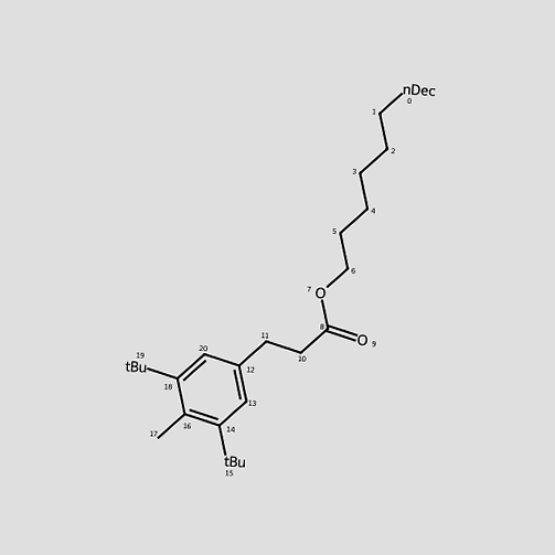 CCCCCCCCCCCCCCCCOC(=O)CCc1cc(C(C)(C)C)c(C)c(C(C)(C)C)c1